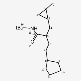 CC1CC1CC(CCC1CCCC1)C(=O)NC(C)(C)C